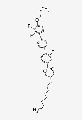 C=CCOc1ccc(-c2ccc(-c3ccc(C4OCC(CCCCCCCC)CO4)cc3F)cc2)c(F)c1F